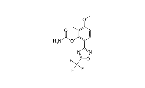 COc1ccc(-c2noc(C(F)(F)F)n2)c(OC(N)=O)c1C